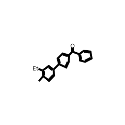 CCc1cc(-c2ccc(C(=O)c3ccccc3)cc2)ccc1C